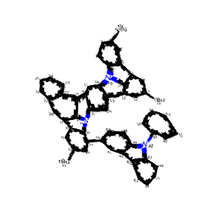 CC(C)(C)c1ccc2c(c1)c1cc(C(C)(C)C)cc3c4cc5c(cc4n2c13)c1c2ccccc2cc2c3cc(C(C)(C)C)cc(-c4ccc6c(c4)c4ccccc4n6-c4ccccc4)c3n5c21